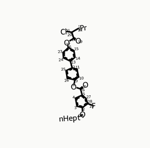 CCCCCCCOc1ccc(C(=O)Oc2ccc(-c3ccc(OC(=O)C(Cl)C(C)C)cc3)cc2)cc1F